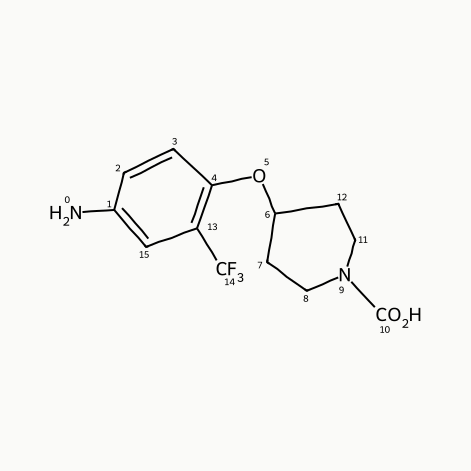 Nc1ccc(OC2CCN(C(=O)O)CC2)c(C(F)(F)F)c1